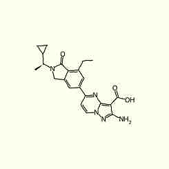 CCc1cc(-c2ccn3nc(N)c(C(=O)O)c3n2)cc2c1C(=O)N([C@@H](C)C1CC1)C2